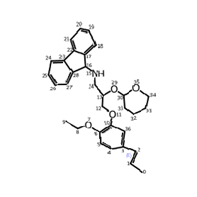 C/C=C/c1ccc(OCC)c(OCC(CNC2c3ccccc3-c3ccccc32)OC2CCCCO2)c1